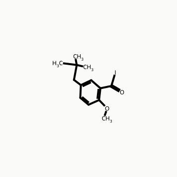 COc1ccc(CC(C)(C)C)cc1C(=O)I